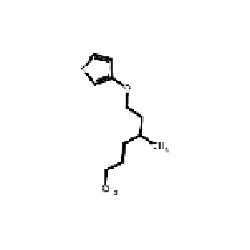 CCCCC(C)CCOc1ccsc1